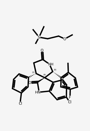 COCC[Si](C)(C)C.Cc1ccc(F)cc1[C@H]1NC(=O)C[C@@H](c2cccc(Cl)c2)[C@]12C(=O)Nc1cc(Cl)ccc12